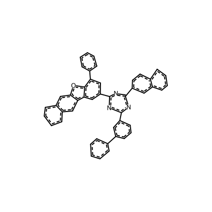 c1ccc(-c2cccc(-c3nc(-c4ccc5ccccc5c4)nc(-c4cc(-c5ccccc5)c5oc6cc7ccccc7cc6c5c4)n3)c2)cc1